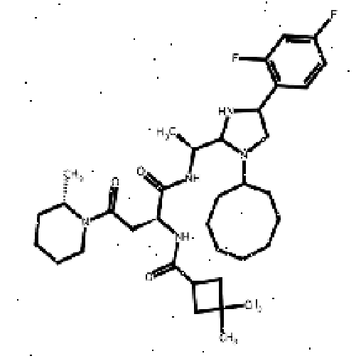 C[C@H](NC(=O)[C@H](CC(=O)N1CCCC[C@@H]1C)NC(=O)C1CC(C)(C)C1)C1NC(c2ccc(F)cc2F)CN1C1CCCCCCC1